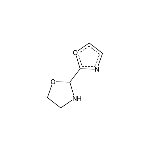 c1coc([C]2NCCO2)n1